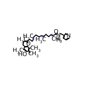 C/C(=C\CC/C(C)=C/CCC1(C)CCc2c(C)c(O)c(C)c(C)c2O1)CC/C=C(\C)C(=O)NCc1cccnc1